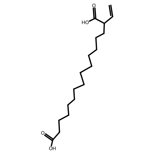 C=CC(CCCCCCCCCCCCCC(=O)O)C(=O)O